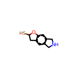 SC1Cc2cc3c(cc2O1)CNC3